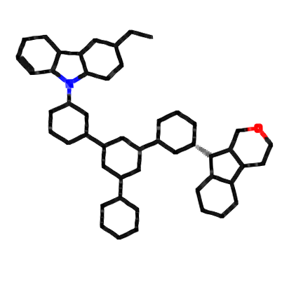 CCC1CCC2C(C1)C1CCC=CC1N2C1CCCC(C2CC(C3CCCCC3)CC(C3CCC[C@H](C4C5CCCCC5C5CCOCC54)C3)C2)C1